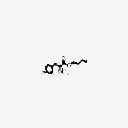 CCCCOC(=O)[C@H](N)Cc1ccc(F)cc1